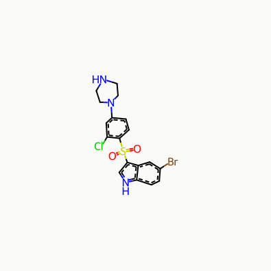 O=S(=O)(c1ccc(N2CCNCC2)cc1Cl)c1c[nH]c2ccc(Br)cc12